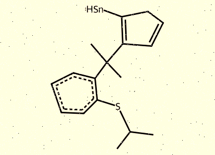 CC(C)Sc1ccccc1C(C)(C)C1=[C]([SnH])CC=C1